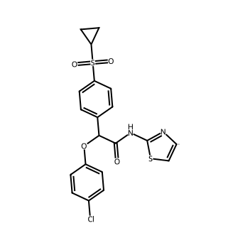 O=C(Nc1n[c]cs1)C(Oc1ccc(Cl)cc1)c1ccc(S(=O)(=O)C2CC2)cc1